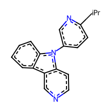 CC(C)c1ccc(-n2c3ccccc3c3cnccc32)cn1